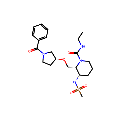 CCNC(=O)N1CCC[C@H](NS(C)(=O)=O)[C@@H]1CO[C@H]1CCN(C(=O)c2ccccc2)C1